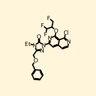 CCn1c(COCc2ccccc2)nn(-c2cc3ccnc(Cl)c3c(OC(CF)C(F)F)n2)c1=O